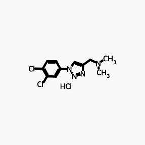 CN(C)Cc1cn(-c2ccc(Cl)c(Cl)c2)nn1.Cl